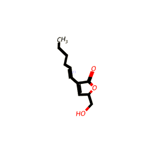 CCCC/C=C/C1=CC(CO)OC1=O